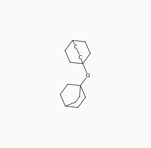 C1CC2(OC34CCC(CC3)CC4)CCC1CC2